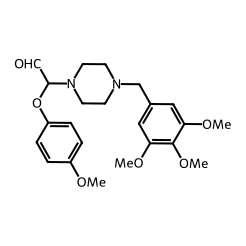 COc1ccc(OC(C=O)N2CCN(Cc3cc(OC)c(OC)c(OC)c3)CC2)cc1